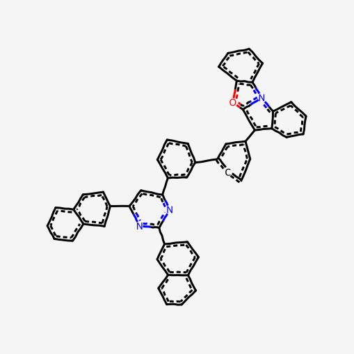 c1cc(-c2cccc(-c3c4ccccc4n4c3oc3ccccc34)c2)cc(-c2cc(-c3ccc4ccccc4c3)nc(-c3ccc4ccccc4c3)n2)c1